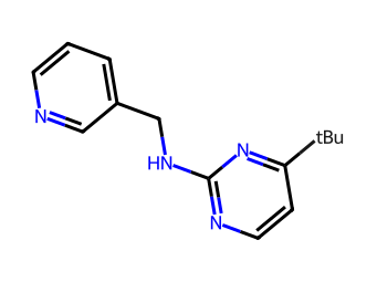 CC(C)(C)c1ccnc(NCc2cccnc2)n1